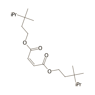 CC(C)C(C)(C)CCOC(=O)/C=C\C(=O)OCCC(C)(C)C(C)C